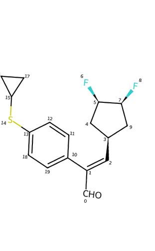 O=C/C(=C/[C@H]1C[C@@H](F)[C@@H](F)C1)c1ccc(SC2CC2)cc1